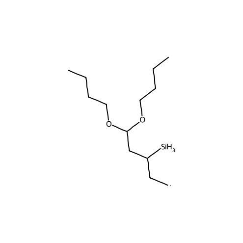 [CH2]CC([SiH3])CC(OCCCC)OCCCC